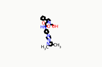 Cc1cc(C)nc(N2CCN(c3ccc(NC(=O)C(=O)c4c(-c5ccccc5)ccn4CCO)cc3)CC2)c1